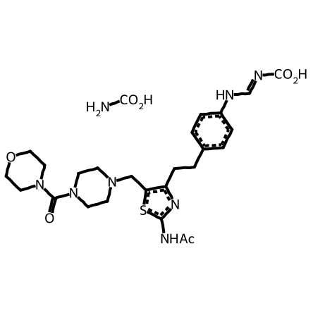 CC(=O)Nc1nc(CCc2ccc(NC=NC(=O)O)cc2)c(CN2CCN(C(=O)N3CCOCC3)CC2)s1.NC(=O)O